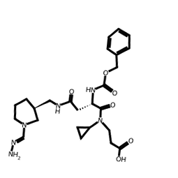 NN=CN1CCC[C@@H](CNC(=O)C[C@H](NC(=O)OCc2ccccc2)C(=O)N(CCC(=O)O)C2CC2)C1